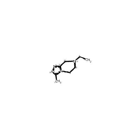 CCN1CCn2c(C)nnc2C1